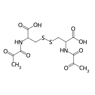 CC(=O)C(=O)NC(CSSCC(NC(=O)C(C)=O)C(=O)O)C(=O)O